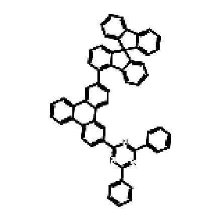 c1ccc(-c2nc(-c3ccccc3)nc(-c3ccc4c5ccccc5c5cc(-c6cccc7c6-c6ccccc6C76c7ccccc7-c7ccccc76)ccc5c4c3)n2)cc1